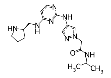 CC(C)NC(=O)Cn1cc(Nc2nccc(NC[C@H]3CCCN3)n2)cn1